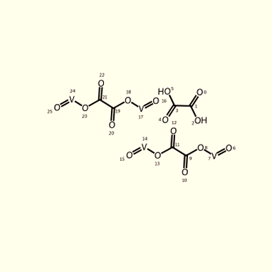 O=C(O)C(=O)O.[O]=[V][O]C(=O)C(=O)[O][V]=[O].[O]=[V][O]C(=O)C(=O)[O][V]=[O]